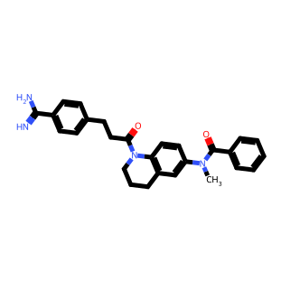 CN(C(=O)c1ccccc1)c1ccc2c(c1)CCCN2C(=O)CCc1ccc(C(=N)N)cc1